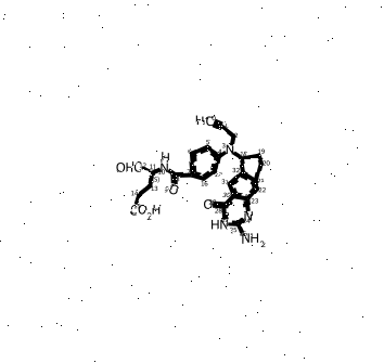 C#CCN(c1ccc(C(=O)N[C@H](C=O)CCC(=O)O)cc1)C1CCc2cc3nc(N)[nH]c(=O)c3cc21